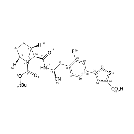 CC(C)(C)OC(=O)N1[C@@H]2CC[C@@H](C2)[C@H]1C(=O)N[C@H](C#N)Cc1ccc(-c2csc(C(=O)O)c2)cc1F